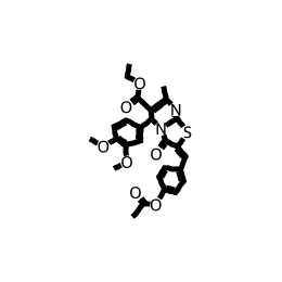 CCOC(=O)C1=C(C)N=c2s/c(=C/c3ccc(OC(C)=O)cc3)c(=O)n2C1c1ccc(OC)c(OC)c1